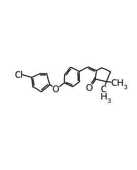 CC1(C)CCC(=Cc2ccc(Oc3ccc(Cl)cc3)cc2)C1=O